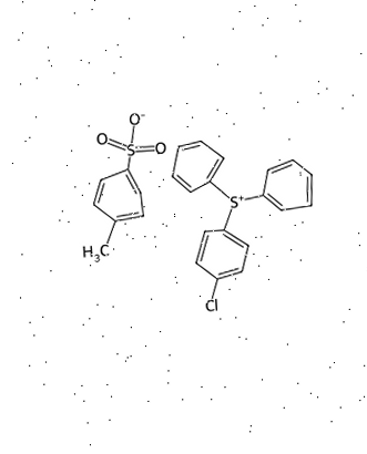 Cc1ccc(S(=O)(=O)[O-])cc1.Clc1ccc([S+](c2ccccc2)c2ccccc2)cc1